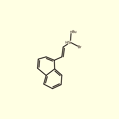 CCCC[SiH](Br)C=Cc1cccc2ccccc12